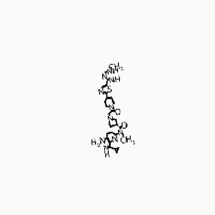 CCN(C(=O)[C@@H]1CCN(CC(=O)N2CC=C(c3ncc(C(=N)/N=C\NC)s3)CC2)C1)c1ccc(N)c(C(=N)C2CC2)n1